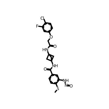 CSc1ccc(C(=O)NC23CC(NC(=O)COc4ccc(Cl)c(F)c4)(C2)C3)cc1NN=O